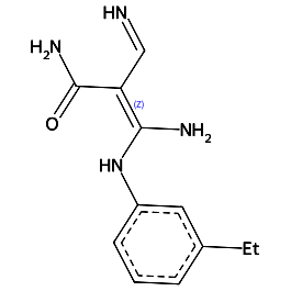 CCc1cccc(N/C(N)=C(/C=N)C(N)=O)c1